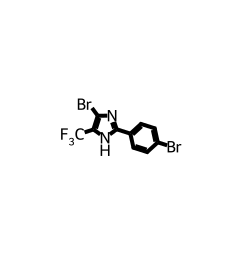 FC(F)(F)c1[nH]c(-c2ccc(Br)cc2)nc1Br